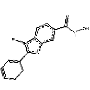 CC(C)n1c(C2=CC=CCC2)nc2cc(C(=O)NO)ccc21